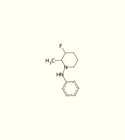 CC1C(F)CCCN1Nc1ccccc1